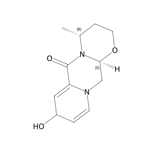 C[C@@H]1CCO[C@H]2CN3C=CC(O)C=C3C(=O)N12